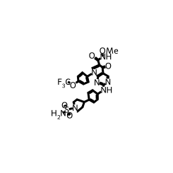 CONC(=O)c1cn(-c2ccc(OC(F)(F)F)cc2)c2nc(Nc3ccc(C4CCN(S(N)(=O)=O)CC4)cc3)ncc2c1=O